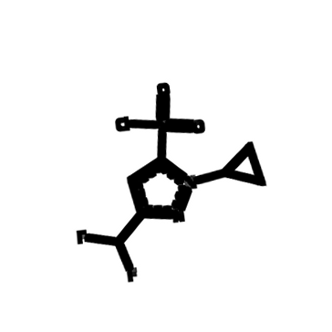 O=S(=O)(Cl)c1cc(C(F)F)nn1C1CC1